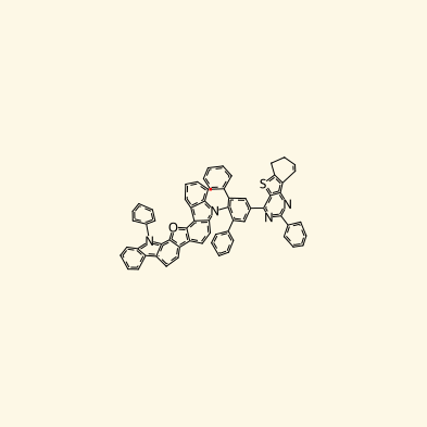 C1=Cc2c(sc3c(-c4cc(-c5ccccc5)c(-n5c6ccccc6c6c7oc8c(ccc9c%10ccccc%10n(-c%10ccccc%10)c98)c7ccc65)c(-c5ccccc5)c4)nc(-c4ccccc4)nc23)CC1